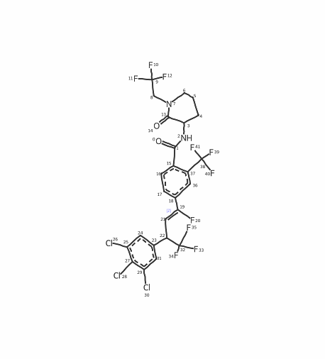 O=C(NC1CCCN(CC(F)(F)F)C1=O)c1ccc(/C(F)=C/C(c2cc(Cl)c(Cl)c(Cl)c2)C(F)(F)F)cc1C(F)(F)F